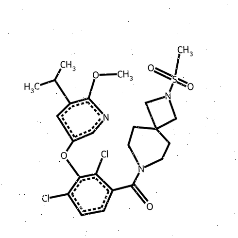 COc1ncc(Oc2c(Cl)ccc(C(=O)N3CCC4(CC3)CN(S(C)(=O)=O)C4)c2Cl)cc1C(C)C